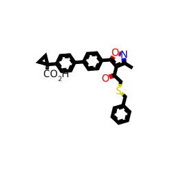 Cc1noc(-c2ccc(-c3ccc(C4(C(=O)O)CC4)cc3)cc2)c1C(=O)CSCc1ccccc1